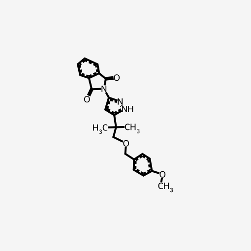 COc1ccc(COCC(C)(C)c2cc(N3C(=O)c4ccccc4C3=O)n[nH]2)cc1